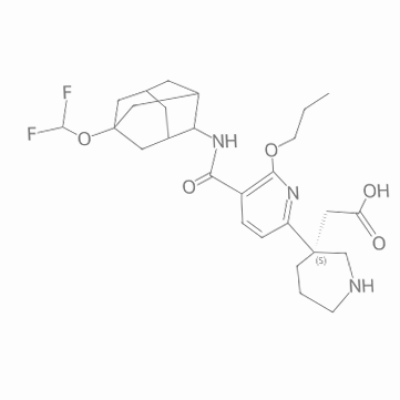 CCCOc1nc([C@]2(CC(=O)O)CCCNC2)ccc1C(=O)NC1C2CC3CC1CC(OC(F)F)(C3)C2